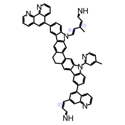 CC(=C/C=N)/C=C/n1c2ccc(-c3cc4cccnc4c4ncccc34)cc2c2cc3c(cc21)-c1cc2c(cc1CC3)c1cc(-c3cc(/C=C\C=N)cc4ncccc34)ccc1n2-c1cc(C)ccn1